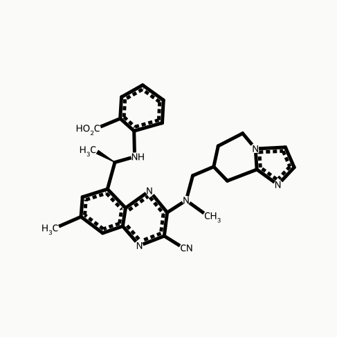 Cc1cc([C@@H](C)Nc2ccccc2C(=O)O)c2nc(N(C)CC3CCn4ccnc4C3)c(C#N)nc2c1